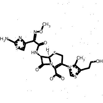 CO/N=C(\C(=O)N[C@@H]1C(=O)N2C(C(=O)[O-])=C([n+]3csc(CCO)c3C)CS[C@H]12)c1csc(N)n1